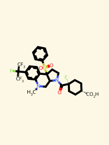 CN1CC2N(C(=O)[C@]3(F)CC[C@@H](C(=O)O)CC3)CCC2(S(=O)(=O)c2ccccc2)c2ccc(C(F)(C(F)(F)F)C(F)(F)F)cc21